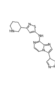 CN1CC(c2cnc3c(Nc4cc(C5CCCNC5)ns4)nccn23)C=N1